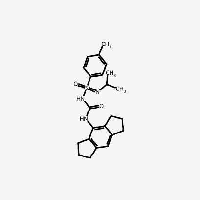 Cc1ccc(S(=O)(=NC(C)C)NC(=O)Nc2c3c(cc4c2CCC4)CCC3)cc1